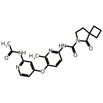 CC(=O)Nc1cc(Oc2ccc(NC(=O)N3CCC4(CCC4)C3=O)nc2C)ccn1